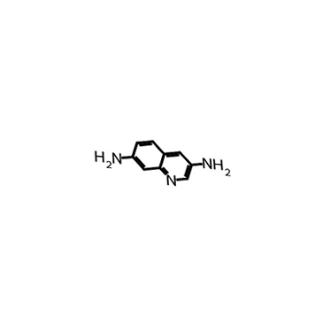 Nc1cnc2cc(N)ccc2c1